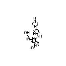 CC(C)n1ncc2c(Nc3ccc(N4CCNCC4)cn3)nc(NCCO)nc21